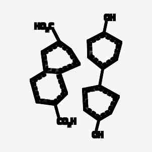 O=C(O)c1ccc2cc(C(=O)O)ccc2c1.Oc1ccc(-c2ccc(O)cc2)cc1